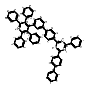 c1ccc(-c2ccc(-c3nc(-c4ccccc4)nc(-c4ccc(-c5cccc(-c6c(-c7ccccc7)c(-c7ccccc7)nc(-c7ccccc7)c6-c6ccccc6)c5)cc4)n3)cc2)cc1